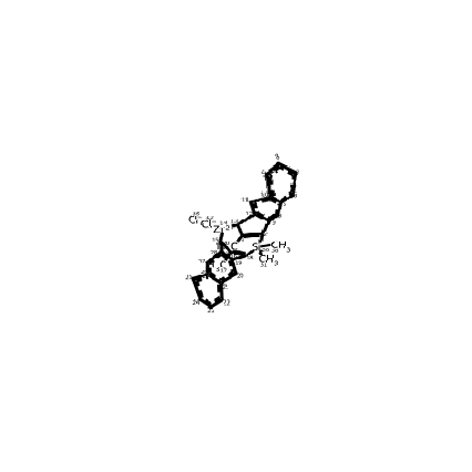 CC1=C2c3cc4ccccc4cc3[CH]1[Zr+2][CH]1C(C)=C(c3cc4ccccc4cc31)[Si]2(C)C.[Cl-].[Cl-]